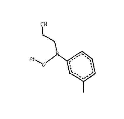 CCON(CCC#N)c1cccc(C)c1